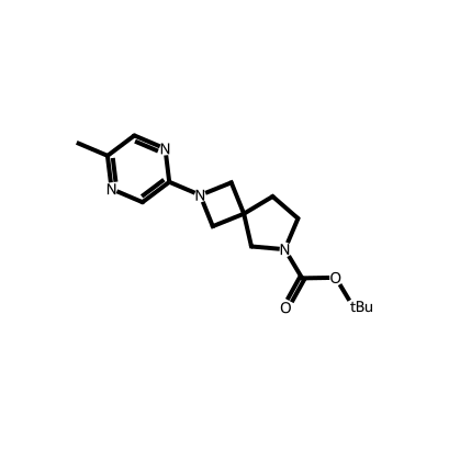 Cc1cnc(N2CC3(CCN(C(=O)OC(C)(C)C)C3)C2)cn1